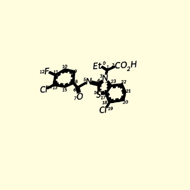 CCC(C(=O)O)n1/c(=N/C(=O)c2ccc(F)c(Cl)c2)sc2c(Cl)cccc21